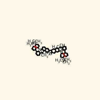 CC(C)(C)c1cccc(-c2ccccc2)c1N(c1ccc([Si](C)(C)C)cc1)c1ccc2cc3c(cc2c1)oc1cc2cc(N(c4ccc([Si](C)(C)C)cc4)c4c(-c5ccccc5)cccc4C(C)(C)C)ccc2cc13